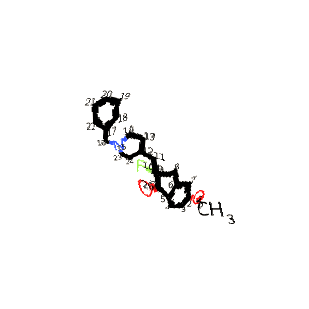 COc1ccc2c(c1)CC(F)(CC1CCN(Cc3ccccc3)CC1)C2=O